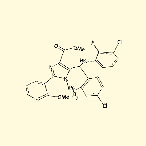 COC(=O)c1nc(-c2ccccc2OC)n(C(C)C)c1C(Nc1cccc(Cl)c1F)c1ccc(Cl)cc1C